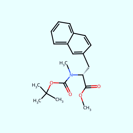 COC(=O)[C@@H](Cc1ccc2ccccc2c1)N(C)C(=O)OC(C)(C)C